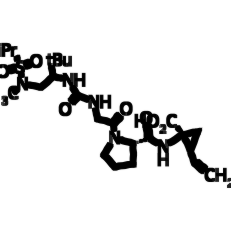 C=CC1C[C@]1(NC(=O)[C@@H]1CCCN1C(=O)CNC(=O)NC(CN(C)S(=O)(=O)C(C)C)C(C)(C)C)C(=O)O